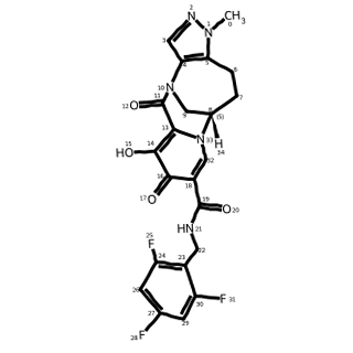 Cn1ncc2c1CC[C@H]1CN2C(=O)c2c(O)c(=O)c(C(=O)NCc3c(F)cc(F)cc3F)cn21